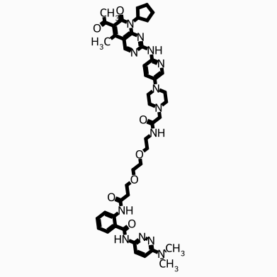 CC(=O)c1c(C)c2cnc(Nc3ccc(N4CCN(CC(=O)NCCOCCOCCC(=O)Nc5ccccc5C(=O)Nc5ccc(N(C)C)nn5)CC4)cn3)nc2n(C2CCCC2)c1=O